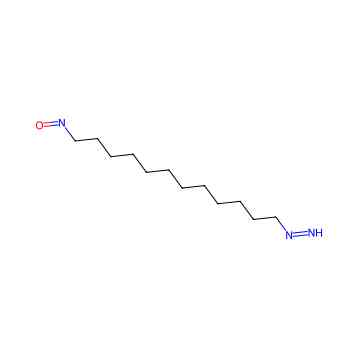 N=NCCCCCCCCCCCCN=O